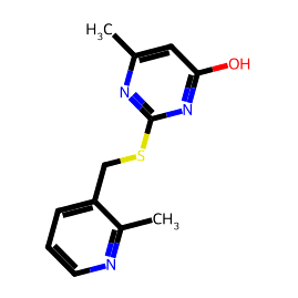 Cc1cc(O)nc(SCc2cccnc2C)n1